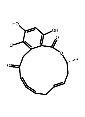 C[C@@H]1C/C=C/CC=C=CC(=O)Cc2c(Cl)c(O)cc(O)c2C(=O)O1